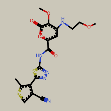 COCCNc1cc(C(=O)Nc2nnc(-c3c(C#N)csc3C)s2)oc(=O)c1OC